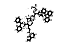 O=C(N[C@@H]1C(=O)N2C(C(=O)OC(c3ccccc3)c3ccccc3)=C(C=CC[n+]3cccc4ccsc43)CS[C@H]12)C(=NOC(F)F)c1csc(NC(c2ccccc2)(c2ccccc2)c2ccccc2)n1.[I-]